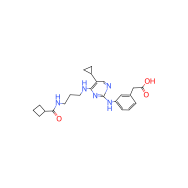 O=C(O)Cc1cccc(Nc2ncc(C3CC3)c(NCCCNC(=O)C3CCC3)n2)c1